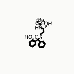 CC(C)(C)OC(=O)N[C@H](CO)CCSC(C(=O)O)(c1ccccc1)c1ccccc1